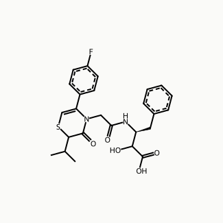 CC(C)C1SC=C(c2ccc(F)cc2)N(CC(=O)N[C@@H](Cc2ccccc2)C(O)C(=O)O)C1=O